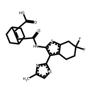 Cc1csc(-c2c(NC(=O)C3=C(C(=O)O)C4CCC3CC4)sc3c2CCC(F)(F)C3)n1